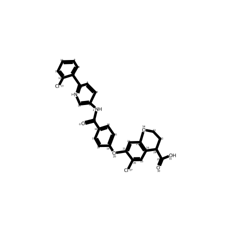 O=C(Nc1ccc(-c2ccccc2Cl)nc1)c1ccc(Oc2cc3c(cc2Cl)C(C(=O)O)CCO3)cc1